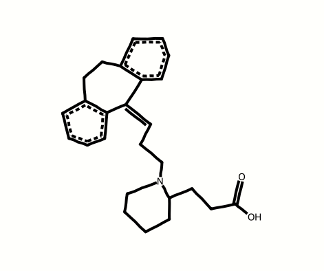 O=C(O)CCC1CCCCN1CCC=C1c2ccccc2CCc2ccccc21